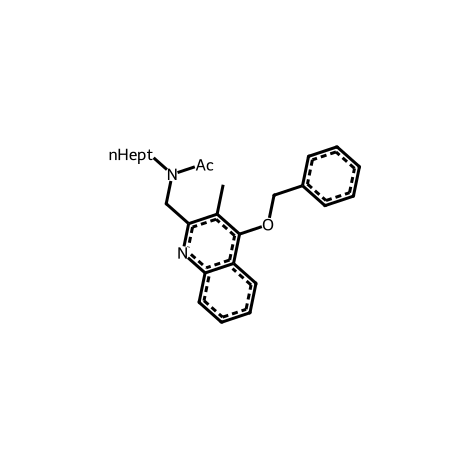 CCCCCCCN(Cc1nc2ccccc2c(OCc2ccccc2)c1C)C(C)=O